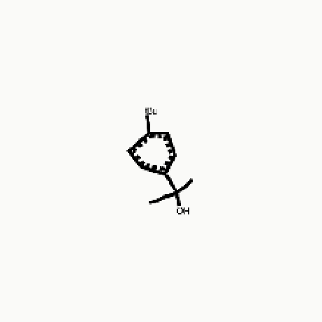 CC(C)(C)c1ccc(C(C)(C)O)cc1